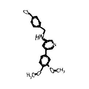 COc1ccc(-c2cncc(NCc3ccc(Cl)cc3)c2)cc1OC